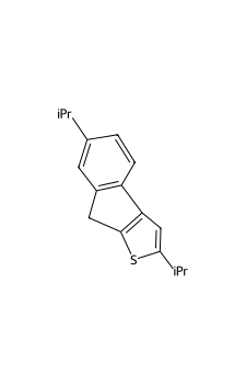 CC(C)c1ccc2c(c1)Cc1sc(C(C)C)cc1-2